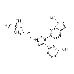 Cc1cccc(-c2nn(COCC[Si](C)(C)C)cc2-c2ccc3ncc(C#N)n3n2)n1